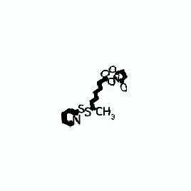 CC(CCCCCC(=O)ON1C(=O)C=CC1=O)SSc1ccccn1